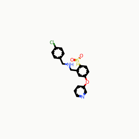 O=[SH](=O)c1ccc(Oc2cccnc2)cc1CNCc1ccc(Cl)cc1